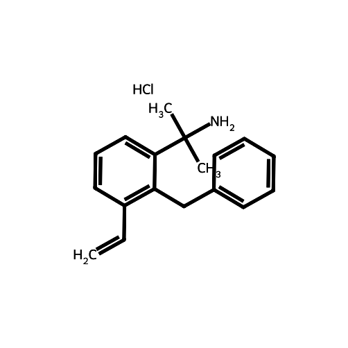 C=Cc1cccc(C(C)(C)N)c1Cc1ccccc1.Cl